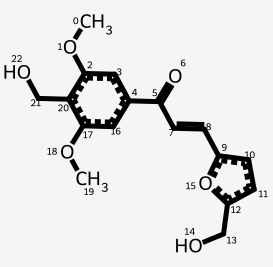 COc1cc(C(=O)/C=C/c2ccc(CO)o2)cc(OC)c1CO